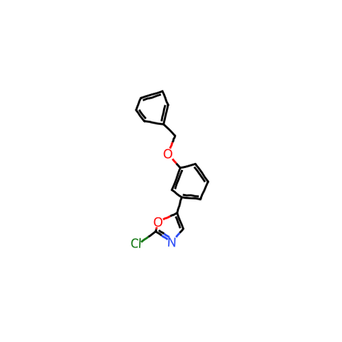 Clc1ncc(-c2cccc(OCc3ccccc3)c2)o1